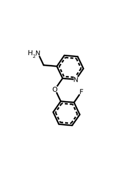 NCc1cccnc1Oc1ccccc1F